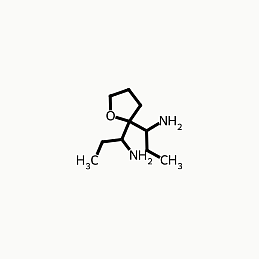 CCC(N)C1(C(N)CC)CCCO1